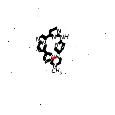 CN1CCN(c2ccc(Nc3nccc(-c4cnc5ccc(-c6cccnc6)cn45)n3)nc2)CC1